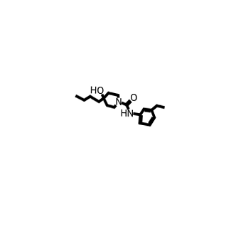 CCCCC1(O)CCN(C(=O)Nc2cccc(CC)c2)CC1